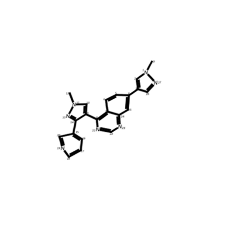 Cn1cc(-c2ccc3c(-c4cn(C)nc4-c4cccnc4)ncnc3c2)cn1